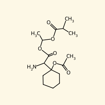 CC(=O)OC1(C(N)C(=O)OC(C)OC(=O)C(C)C)CCCCC1